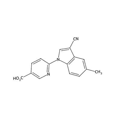 Cc1ccc2c(c1)c(C#N)cn2-c1ccc(C(=O)O)cn1